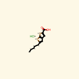 CCCCCc1cc2cc(C(=O)O)sc2s1.Cl